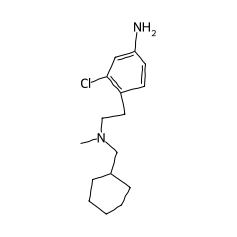 CN(CCc1ccc(N)cc1Cl)CC1CCCCC1